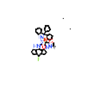 C[C@H]1COc2c([S@@](=O)(=NC(=O)Nc3c4c(c(F)c5c3CCC5)CCC4)NC(c3ccccc3)(c3ccccc3)c3ccccc3)cnn21